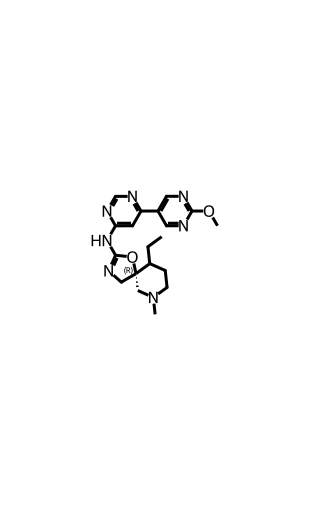 CCC1CCN(C)C[C@@]12CN=C(Nc1cc(-c3cnc(OC)nc3)ncn1)O2